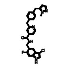 Cn1nccc1Cc1ccc(Cc2cc(C(=O)NCc3cc4c(Cl)c[nH]c4cc3F)ccn2)cc1